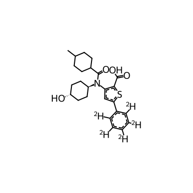 [2H]c1c([2H])c([2H])c(-c2cc(N(C(=O)C3CCC(C)CC3)[C@H]3CC[C@H](O)CC3)c(C(=O)O)s2)c([2H])c1[2H]